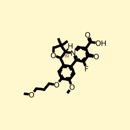 COCCCOc1cc2c(cc1OC)-c1c(F)c(=O)c(C(=O)O)cn1[C@@H]1C2OCC1(C)C